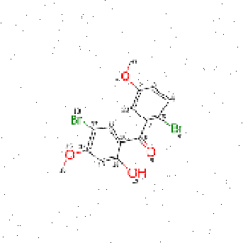 COc1ccc(Br)c(C(=O)c2cc(Br)c(OC)cc2O)c1